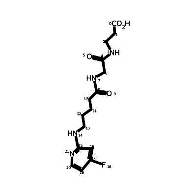 O=C(O)CCNC(=O)CNC(=O)CCCCNc1cc(F)ccn1